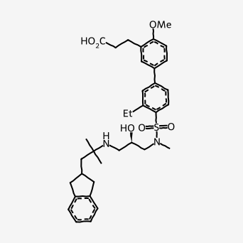 CCc1cc(-c2ccc(OC)c(CCC(=O)O)c2)ccc1S(=O)(=O)N(C)C[C@H](O)CNC(C)(C)CC1Cc2ccccc2C1